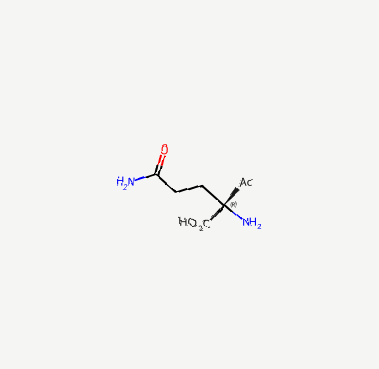 CC(=O)[C@](N)(CCC(N)=O)C(=O)O